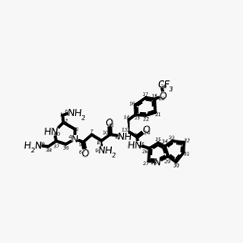 NCC1CN(C(=O)C[C@H](N)C(=O)N[C@@H](Cc2ccc(OC(F)(F)F)cc2)C(=O)Nc2cnc3ccccc3c2)CC(CN)N1